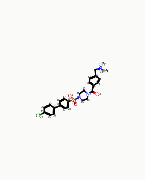 CC(C)N(Cc1ccc(C(=O)N2CCN(S(=O)(=O)c3ccc(-c4ccc(Cl)cc4)cc3)CC2)cc1)C(C)C